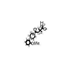 COc1ccccc1N1CCN(C(=O)CC(C)(C)C(N)=O)CC1